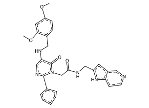 COc1ccc(CNc2cnc(-c3ccccc3)n(CC(=O)NCc3cc4cnccc4[nH]3)c2=O)c(OC)c1